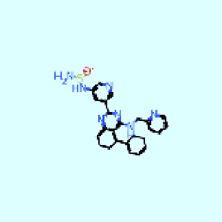 N[S+]([O-])Nc1cncc(-c2nc(NCc3ccccn3)c3c(n2)=CCCC=3C2=CC=CCC2)c1